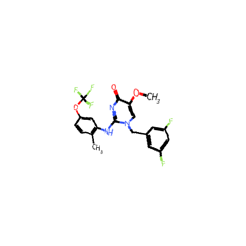 COc1cn(Cc2cc(F)cc(F)c2)c(Nc2cc(OC(F)(F)F)ccc2C)nc1=O